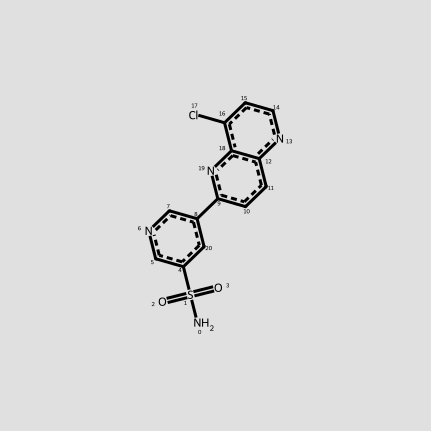 NS(=O)(=O)c1cncc(-c2ccc3nccc(Cl)c3n2)c1